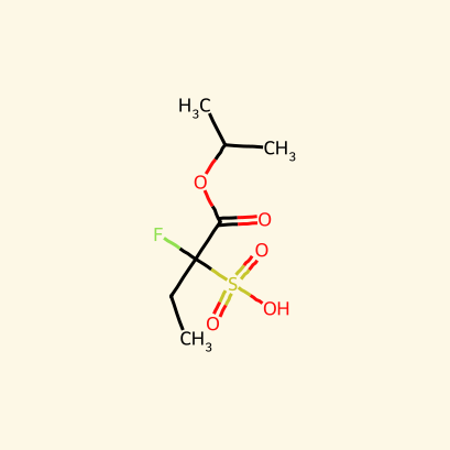 CCC(F)(C(=O)OC(C)C)S(=O)(=O)O